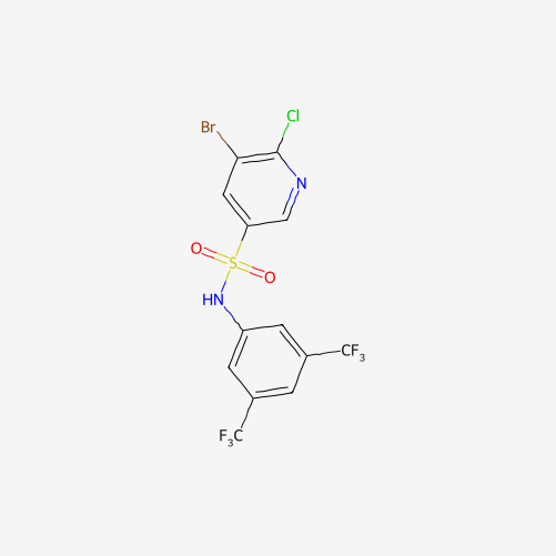 O=S(=O)(Nc1cc(C(F)(F)F)cc(C(F)(F)F)c1)c1cnc(Cl)c(Br)c1